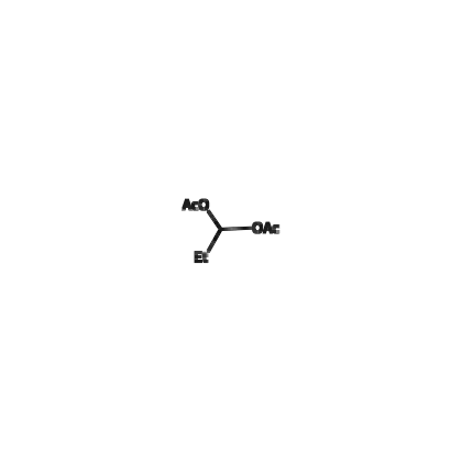 [CH2]CC(OC(C)=O)OC(C)=O